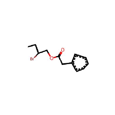 CCC(Br)COC(=O)Cc1ccccc1